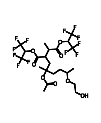 CC(=O)OC(C)(CCC(C)OCCO)CC(C(=O)OC(C(F)(F)F)C(F)(F)F)C(C)C(=O)OC(C(F)(F)F)C(F)(F)F